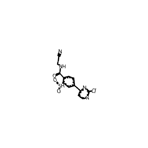 N#CCNC(=O)c1ccc(-c2ccnc(Cl)n2)cc1[SH](=O)=O